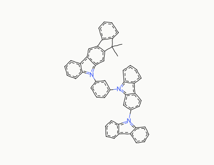 CC1(C)c2ccccc2-c2cc3c4ccccc4n(-c4cccc(-n5c6ccccc6c6ccc(-n7c8ccccc8c8ccccc87)cc65)c4)c3cc21